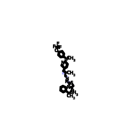 CC(/C=N/N=C1\SCC(=O)N1c1ccccc1C(C)C)=C\c1ccc(N(C)c2ccc(OC(F)(F)F)cc2)nc1